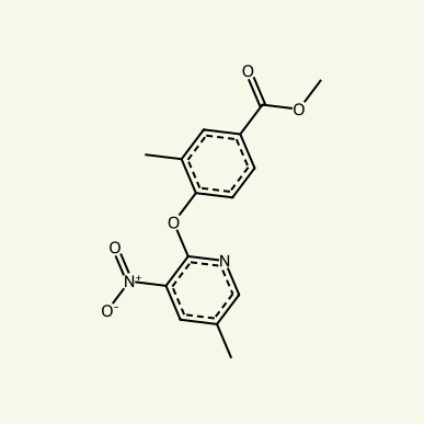 COC(=O)c1ccc(Oc2ncc(C)cc2[N+](=O)[O-])c(C)c1